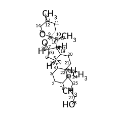 CC1CCC2[C@@H]3C[C@@H]4O[C@]5(CC[C@H](C)CO5)[C@@H](C)[C@@H]4C3CC[C@@H]2[C@@]1(C)CCCO